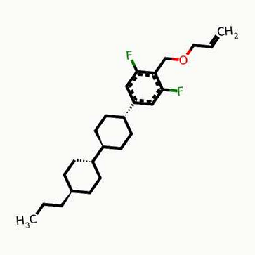 C=CCOCc1c(F)cc([C@H]2CC[C@H]([C@H]3CC[C@H](CCC)CC3)CC2)cc1F